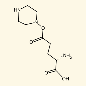 N[C@@H](CCC(=O)ON1CCNCC1)C(=O)O